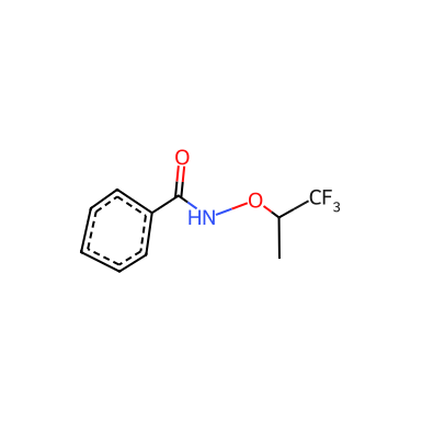 CC(ONC(=O)c1ccccc1)C(F)(F)F